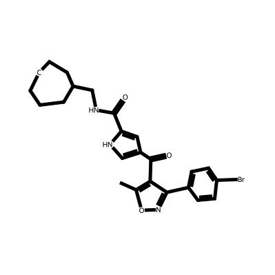 Cc1onc(-c2ccc(Br)cc2)c1C(=O)c1c[nH]c(C(=O)NCC2CCCCCC2)c1